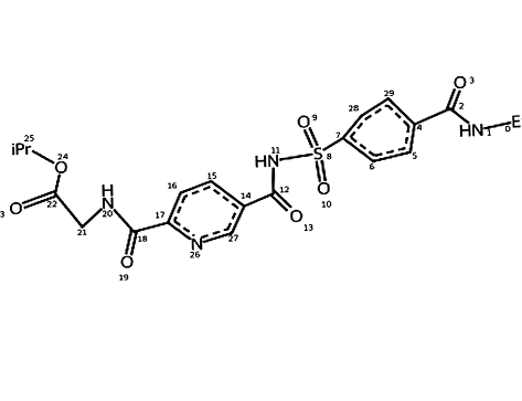 CCNC(=O)c1ccc(S(=O)(=O)NC(=O)c2ccc(C(=O)NCC(=O)OC(C)C)nc2)cc1